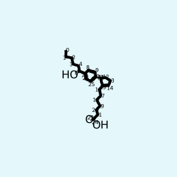 CCCCCC(O)c1ccc([C@H]2CCC=C2CCCCCCC(=O)O)cc1